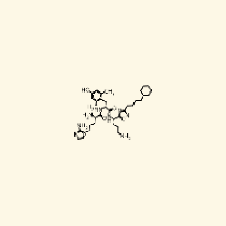 Cc1cc(O)cc(C)c1C[C@H](NC(=O)[C@H](N)CCCn1ccnc1N)C(=O)N[C@@H](CCCN)c1nc(CCCCC2CCCCC2)no1